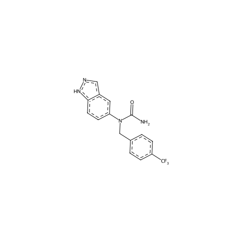 NC(=O)N(Cc1ccc(C(F)(F)F)cc1)c1ccc2[nH]ncc2c1